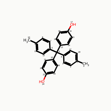 Cc1ccc(C(c2ccc(C)cc2)(c2ccc(O)cc2)c2ccc(O)cc2)cc1